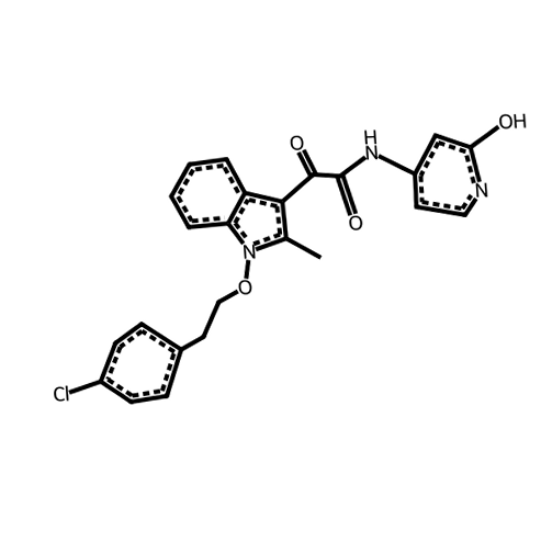 Cc1c(C(=O)C(=O)Nc2ccnc(O)c2)c2ccccc2n1OCCc1ccc(Cl)cc1